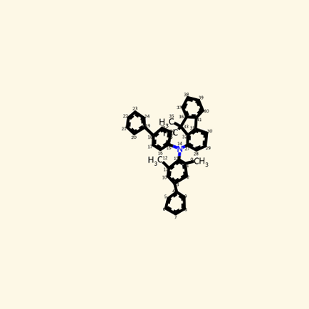 Cc1cc(-c2ccccc2)cc(C)c1N(c1ccc(-c2ccccc2)cc1)c1cccc2c1C(C)(C)c1ccccc1-2